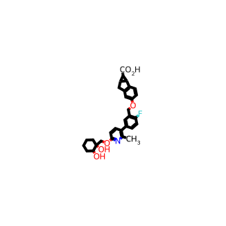 Cc1nc(OCC2(O)CCCCC2O)ccc1-c1ccc(F)c(COc2ccc3c(c2)CC2C(C(=O)O)C32)c1